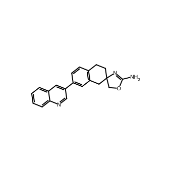 NC1=NC2(CCc3ccc(-c4cnc5ccccc5c4)cc3C2)CO1